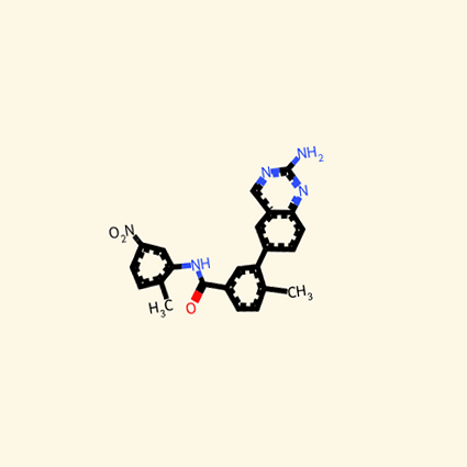 Cc1ccc([N+](=O)[O-])cc1NC(=O)c1ccc(C)c(-c2ccc3nc(N)ncc3c2)c1